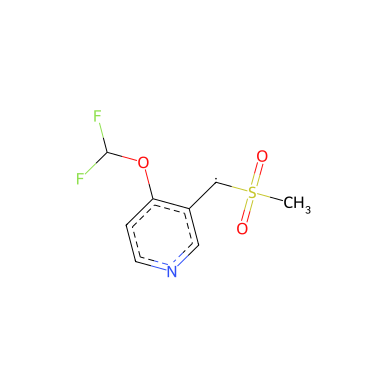 CS(=O)(=O)[CH]c1cnccc1OC(F)F